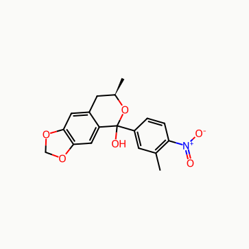 Cc1cc(C2(O)O[C@H](C)Cc3cc4c(cc32)OCO4)ccc1[N+](=O)[O-]